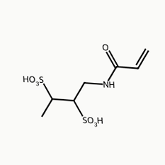 C=CC(=O)NCC(C(C)S(=O)(=O)O)S(=O)(=O)O